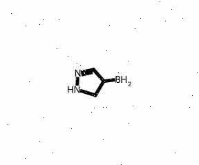 BC1C=NNC1